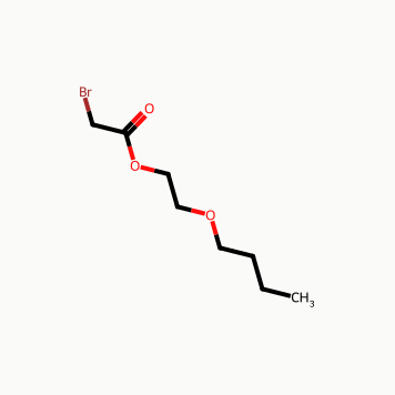 CCCCOCCOC(=O)CBr